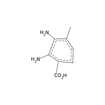 Cc1ccc(C(=O)O)c(N)c1N